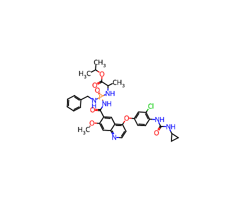 COc1cc2nccc(Oc3ccc(NC(=O)NC4CC4)c(Cl)c3)c2cc1C(=O)NP(=O)(NCc1ccccc1)NC(C)C(=O)OC(C)C